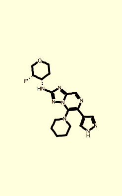 F[C@@H]1COCC[C@@H]1Nc1nc2cnc(-c3cn[nH]c3)c(N3CCCCC3)n2n1